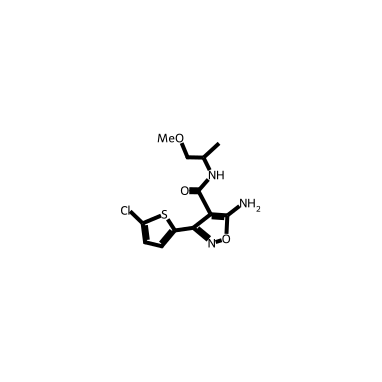 COCC(C)NC(=O)c1c(-c2ccc(Cl)s2)noc1N